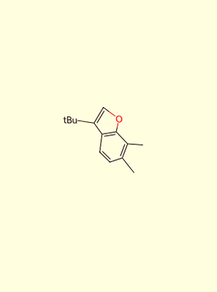 Cc1ccc2c(C(C)(C)C)coc2c1C